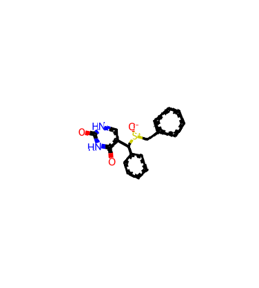 O=c1[nH]cc(C(c2ccccc2)[S+]([O-])Cc2ccccc2)c(=O)[nH]1